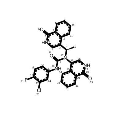 C[C@H](c1c[nH]c(=O)c2ccccc12)N(C(=O)Nc1ccc(F)c(Cl)c1)c1c[nH]c(=O)c2ccccc12